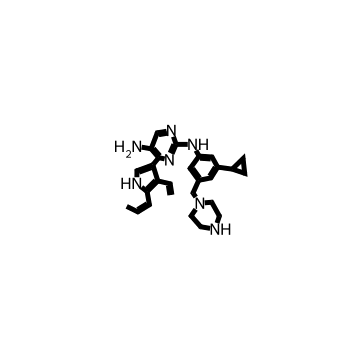 C=Cc1c(-c2nc(Nc3cc(CN4CCNCC4)cc(C4CC4)c3)ncc2N)c[nH]c1/C=C\C